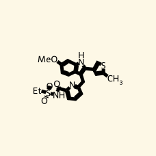 CCS(=O)(=O)NC(=O)c1cccc(Cc2c(-c3csc(C)c3)[nH]c3cc(OC)ccc23)n1